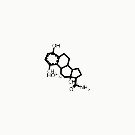 Cc1ccc(O)c2c1C1C(CC2)C2CCC(C(N)=O)C2(C)C[C@@H]1O